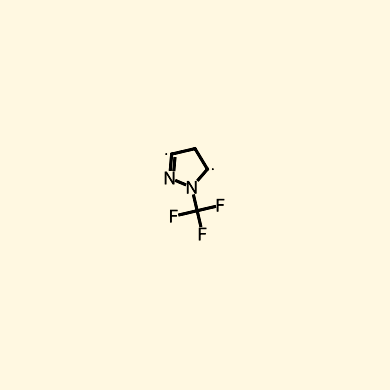 FC(F)(F)N1[CH]C[C]=N1